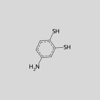 Nc1ccc(S)c(S)c1